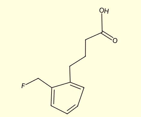 O=C(O)CCCc1ccccc1CF